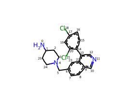 NC1CCN(Cc2ccc3cncc(-c4ccc(Cl)cc4Cl)c3c2)CC1